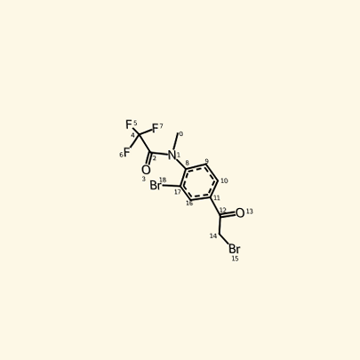 CN(C(=O)C(F)(F)F)c1ccc(C(=O)CBr)cc1Br